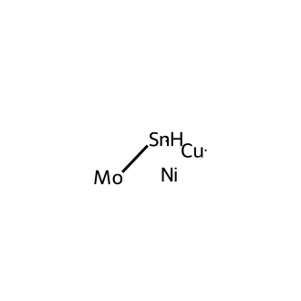 [Cu].[Mo][SnH].[Ni]